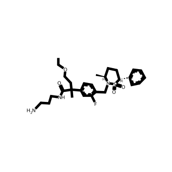 CCOCCC(C)(C(=O)NCCCN)c1ccc(CN2[C@@H](C)CC[C@H](c3ccccc3)S2(=O)=O)c(F)c1